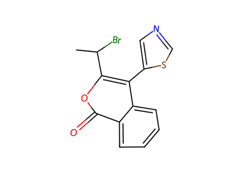 CC(Br)c1oc(=O)c2ccccc2c1-c1cncs1